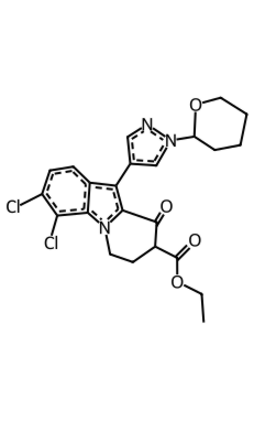 CCOC(=O)C1CCn2c(c(-c3cnn(C4CCCCO4)c3)c3ccc(Cl)c(Cl)c32)C1=O